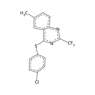 Cc1ccc2nc(C(F)(F)F)nc(Sc3ccc(Cl)cc3)c2c1